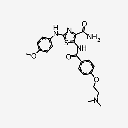 COc1ccc(Nc2nc(C(N)=O)c(NC(=O)c3ccc(OCCN(C)C)cc3)s2)cc1